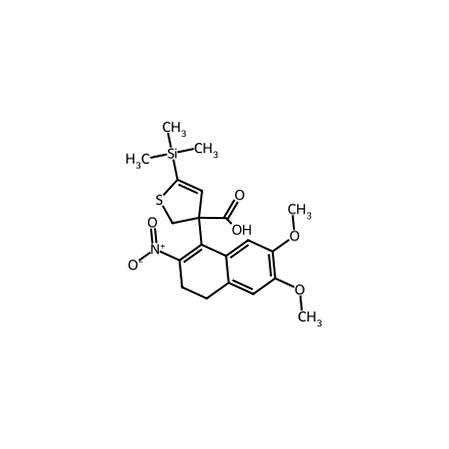 COc1cc2c(cc1OC)C(C1(C(=O)O)C=C([Si](C)(C)C)SC1)=C([N+](=O)[O-])CC2